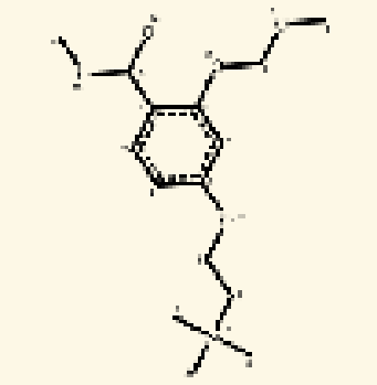 COCOc1cc(OCC[Si](C)(C)C)ccc1C(O)OC